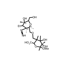 CCC1[C@](C)(O)C(CO)O[C@@](C)(COCC2(C)C(C(=O)O)OC(C)(OC)[C@@](C)(O)C2(C)O)[C@@]1(C)N=N